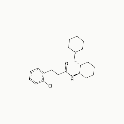 O=C(CCc1ccccc1Cl)N[C@@H]1CCCC[C@H]1CN1CCCCC1